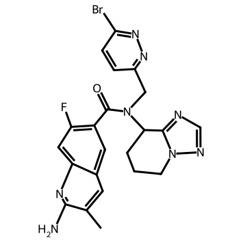 Cc1cc2cc(C(=O)N(Cc3ccc(Br)nn3)C3CCCn4ncnc43)c(F)cc2nc1N